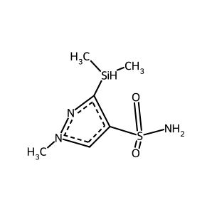 Cn1cc(S(N)(=O)=O)c([SiH](C)C)n1